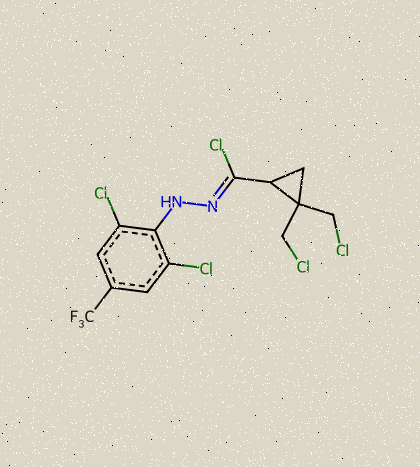 FC(F)(F)c1cc(Cl)c(NN=C(Cl)C2CC2(CCl)CCl)c(Cl)c1